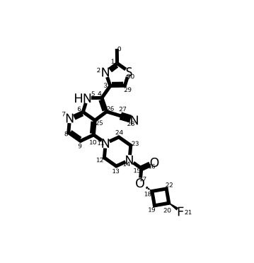 Cc1nc(-c2[nH]c3nccc(N4CCN(C(=O)O[C@H]5C[C@H](F)C5)CC4)c3c2C#N)cs1